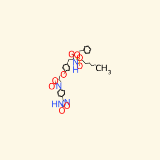 CCCCCCS(=O)(=O)NC(Cc1ccc(OCC2CN(c3ccc(-c4noc(=O)[nH]4)cc3)C(=O)O2)cc1)C(=O)OCc1ccccc1